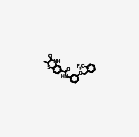 CC1Sc2ccc(C(=O)Nc3cccc(OCc4ccccc4C(F)(F)F)c3)cc2NC1=O